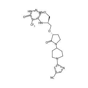 COC[C@@H](CO[C@@H]1CCN(C2CCN(c3ncc(C#N)s3)CC2)C1=O)Nc1cn[nH]c(=O)c1C(F)(F)F